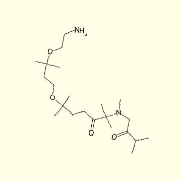 CC(C)C(=O)CN(C)C(C)(C)C(=O)CCC(C)(C)OCCC(C)(C)OCCN